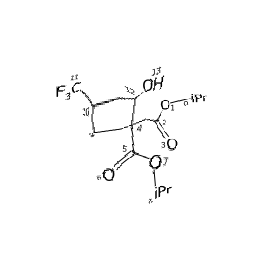 CC(C)OC(=O)C1(C(=O)OC(C)C)CC(C(F)(F)F)C1O